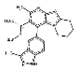 Cc1nc2sc3c(c2c(-c2ccc4[nH]nc(C)c4c2)c1[C@H](OC(C)(C)C)C(=O)O)CCCC3